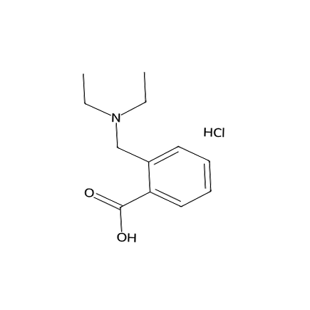 CCN(CC)Cc1ccccc1C(=O)O.Cl